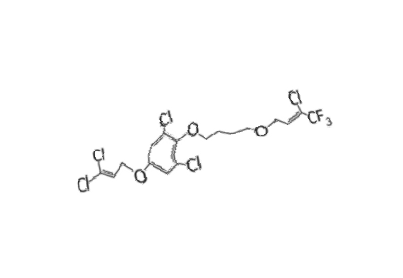 FC(F)(F)/C(Cl)=C/COCCCCOc1c(Cl)cc(OCC=C(Cl)Cl)cc1Cl